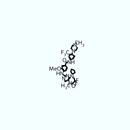 COc1cc(C(=O)Nc2ccc(N3CCN(C)CC3)c(C(F)(F)F)c2)ccc1Nc1ncc2c(n1)N(C1CCCC1)CC(F)(F)C(=O)N2C